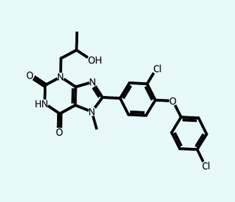 CC(O)Cn1c(=O)[nH]c(=O)c2c1nc(-c1ccc(Oc3ccc(Cl)cc3)c(Cl)c1)n2C